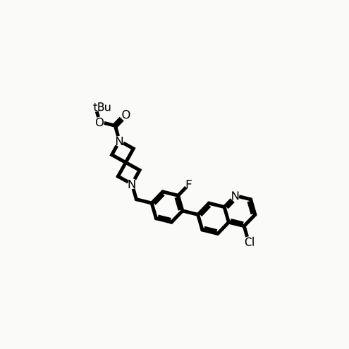 CC(C)(C)OC(=O)N1CC2(CN(Cc3ccc(-c4ccc5c(Cl)ccnc5c4)c(F)c3)C2)C1